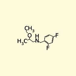 CCOC(C)CNCc1ccc(F)cc1F